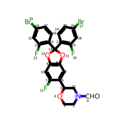 O=CN1CCOC(c2cc3c(cc2F)OC(c2ccc(Br)cc2F)(c2ccc(Br)cc2F)O3)C1